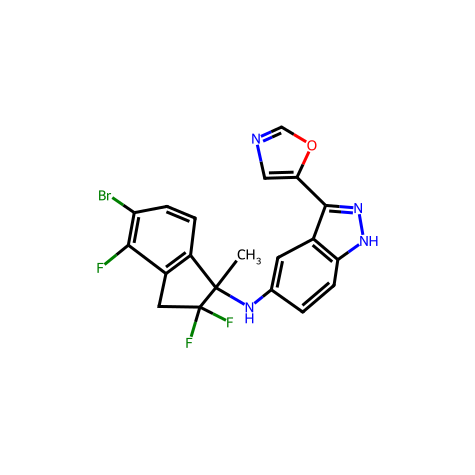 CC1(Nc2ccc3[nH]nc(-c4cnco4)c3c2)c2ccc(Br)c(F)c2CC1(F)F